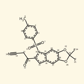 Cc1ccc(S(=O)(=O)n2c(C(=O)CC#N)cc3cc4c(cc32)OC(F)(F)O4)cc1